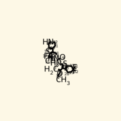 C=C(OCC)c1c(NC(=O)NCc2c(C(C)(F)F)sc3c2CCNC3)sc2c1CCC(F)(F)C2